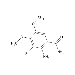 COc1cc(C(N)=O)c(N)c(Br)c1OC